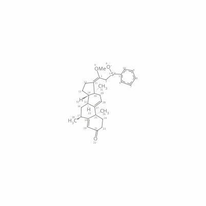 COC(C[S+]([O-])c1ccccc1)=C1CC[C@H]2[C@@H]3C[C@H](C)C4=CC(=O)CC[C@]4(C)C3=CC[C@]12C